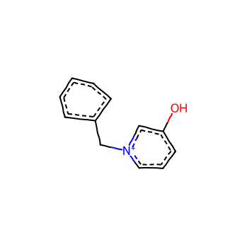 Oc1ccc[n+](Cc2ccccc2)c1